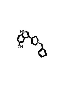 N#Cc1ccc2[nH]cc(C3=CCN(Cc4ccccc4)CC3)c2c1